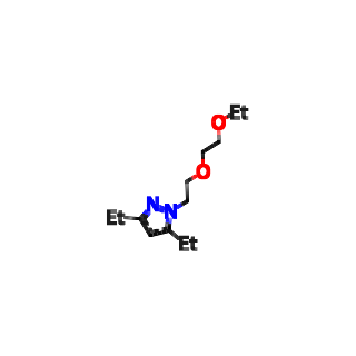 CCOCCOCCn1nc(CC)cc1CC